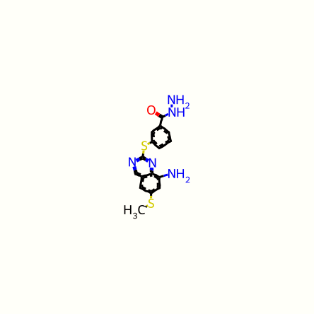 CSc1cc(N)c2nc(Sc3cccc(C(=O)NN)c3)ncc2c1